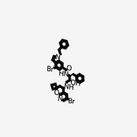 O=C(N[C@@H](Cc1ccccc1)[C@@H](O)CN[C@H]1CC2(CCC2)Oc2ncc(Br)cc21)c1cc(Br)c2ccn(CCc3ccccc3)c2c1